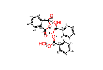 O=C(O)c1ccccc1.O=C(OO)c1ccccc1.O=C1OC(=O)c2ccccc21